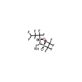 O=S(=O)(N(F)S(=O)(=O)C(F)(F)C(F)(F)C(F)F)C(F)(F)C(F)(F)F.[KH]